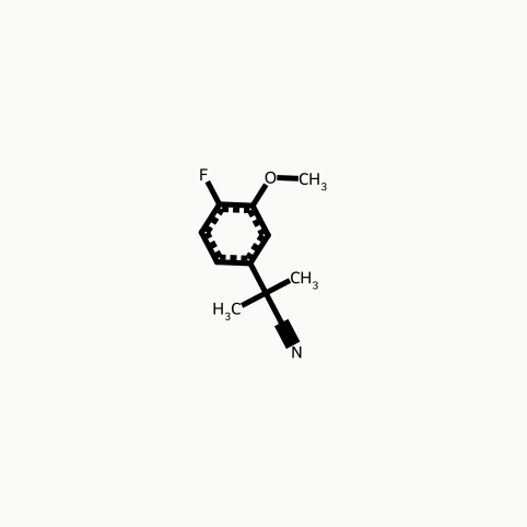 COc1cc(C(C)(C)C#N)ccc1F